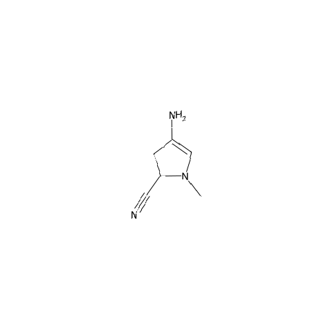 CN1C=C(N)CC1C#N